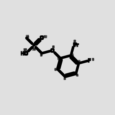 CC(C)c1c(F)cccc1OCP(C)(=O)O